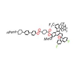 CCCCCC1CCC(c2ccc(-c3ccc(OC(=O)C4CCC(C(=O)Oc5cc6c7c(c8c(c6cc5OC)OC(c5ccc(F)cc5)(c5ccc(F)cc5)C=C8)C(C)(C)c5c-7cc(C(F)(F)F)cc5C(F)(F)F)CC4)cc3)cc2)CC1